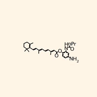 CCCC(=O)Nc1cc(N)ccc1OC(=O)/C=C(C)/C=C/C=C(C)/C=C/C1=C(C)CCCC1(C)C